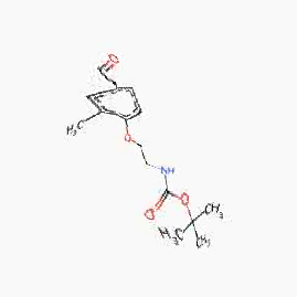 Cc1cc(C=O)ccc1OCCNC(=O)OC(C)(C)C